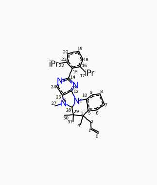 C=CCC1(C)c2ccccc2N2c3nc(-c4c(C(C)C)cccc4C(C)C)ncc3N(C)C2C1(C)C